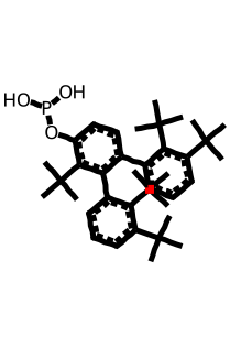 CC(C)(C)c1cccc(-c2ccc(OP(O)O)c(C(C)(C)C)c2-c2cccc(C(C)(C)C)c2C(C)(C)C)c1C(C)(C)C